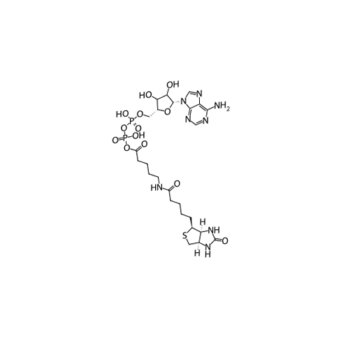 Nc1ncnc2c1ncn2[C@@H]1O[C@H](COP(=O)(O)OP(=O)(O)OC(=O)CCCCNC(=O)CCCC[C@@H]2SC[C@@H]3NC(=O)N[C@@H]32)C(O)C1O